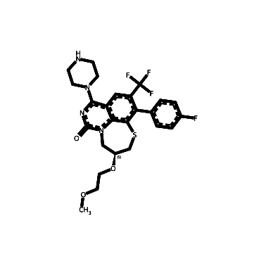 COCCO[C@@H]1CSc2c(-c3ccc(F)cc3)c(C(F)(F)F)cc3c(N4CCNCC4)nc(=O)n(c23)C1